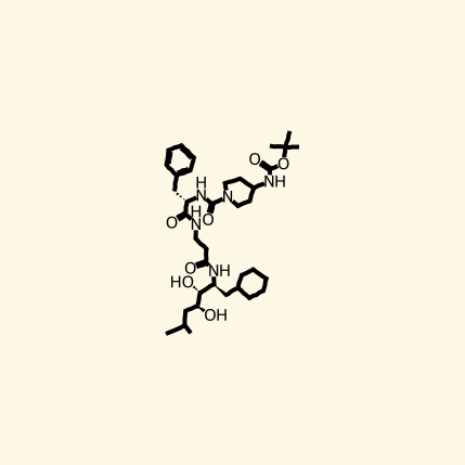 CC(C)C[C@H](O)[C@H](O)[C@H](CC1CCCCC1)NC(=O)CCNC(=O)[C@H](Cc1ccccc1)NC(=O)N1CCC(NC(=O)OC(C)(C)C)CC1